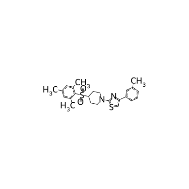 Cc1cccc(-c2csc(N3CCC(S(=O)(=O)c4c(C)cc(C)cc4C)CC3)n2)c1